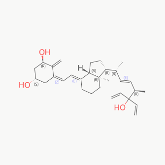 C=CC(O)(C=C)[C@H](C)/C=C/[C@@H](C)[C@H]1CC[C@H]2/C(=C/C=C3/C[C@H](O)C[C@@H](O)C3=C)CCC[C@]12C